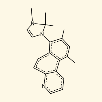 Cc1cc(C)c2c(ccc3ncccc32)c1N1C=CN(C)C1(C)C